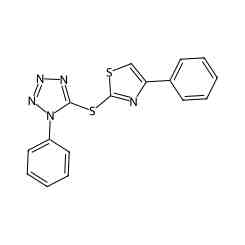 c1ccc(-c2csc(Sc3nnnn3-c3ccccc3)n2)cc1